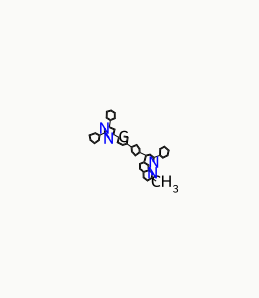 Cc1ccc2ccc3c(-c4ccc(-c5ccc(-c6cc(-c7ccccc7)nc(-c7ccccc7)n6)cc5)cc4)cc(-c4ccccc4)nc3c2n1